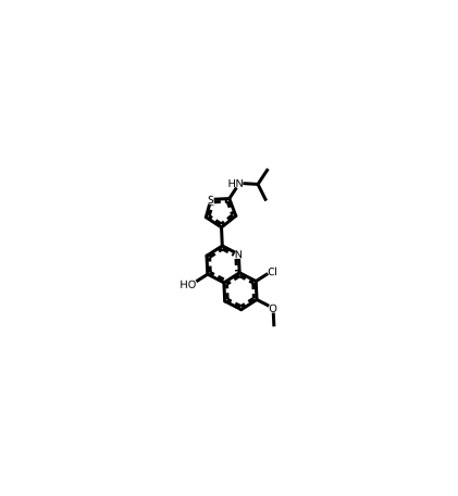 COc1ccc2c(O)cc(-c3csc(NC(C)C)c3)nc2c1Cl